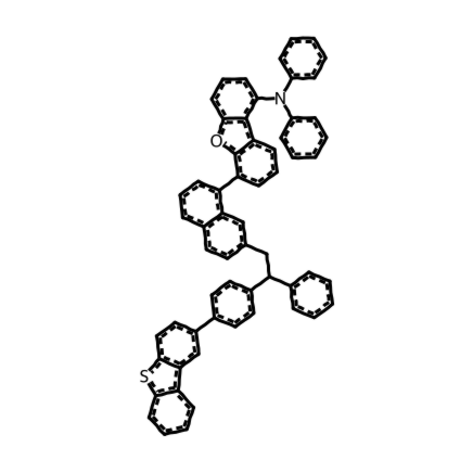 c1ccc(C(Cc2ccc3cccc(-c4cccc5c4oc4cccc(N(c6ccccc6)c6ccccc6)c45)c3c2)c2ccc(-c3ccc4sc5ccccc5c4c3)cc2)cc1